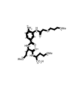 COCCCSCC(=O)Nc1cc(C(=O)NC(CCSC)C(=O)NC(CCSC)C(=O)O)ccc1N